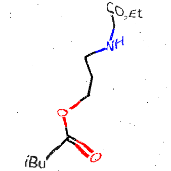 CCOC(=O)NCCOC(=O)C(C)CC